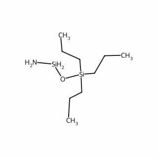 CCC[Si](CCC)(CCC)O[SiH2]N